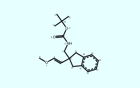 COC=CC1(CNC(=O)OC(C)(C)C)Cc2ccccc2C1